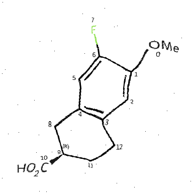 COc1cc2c(cc1F)C[C@H](C(=O)O)CC2